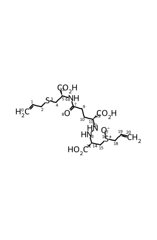 C=CCSC[C@H](NC(=O)CC[C@H](NN[C@@H](C[S+]([O-])CC=C)C(=O)O)C(=O)O)C(=O)O